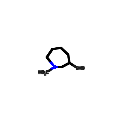 O=CC1CCCCN(C(=O)O)C1